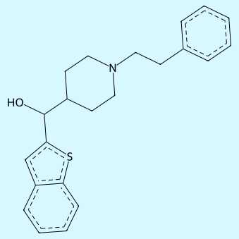 OC(c1cc2ccccc2s1)C1CCN(CCc2ccccc2)CC1